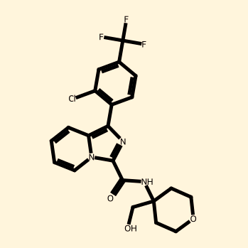 O=C(NC1(CO)CCOCC1)c1nc(-c2ccc(C(F)(F)F)cc2Cl)c2ccccn12